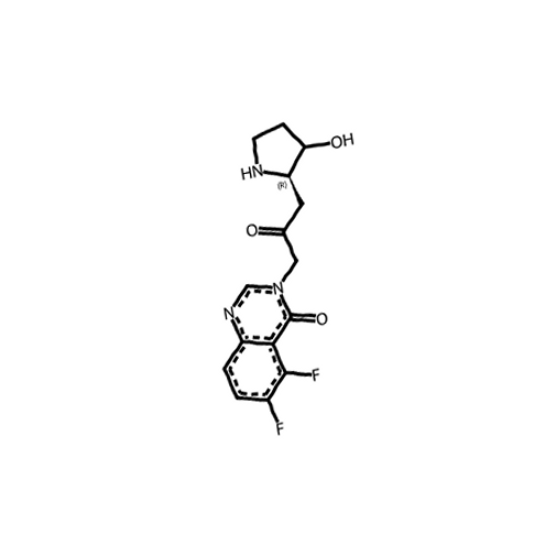 O=C(C[C@H]1NCCC1O)Cn1cnc2ccc(F)c(F)c2c1=O